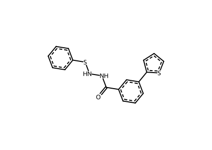 O=C(NNSc1ccccc1)c1cccc(-c2cccs2)c1